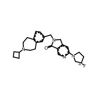 O=C1c2cnc(N3CC[C@@H](F)C3)cc2CN1Cc1ccc2c(c1)CCN(C1CCC1)CC2